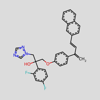 C=C(/C=C/c1ccc2ccccc2c1)c1ccc(OCC(O)(Cn2cncn2)c2ccc(F)cc2F)cc1